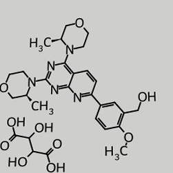 COc1ccc(-c2ccc3c(N4CCOC[C@@H]4C)nc(N4CCOC[C@@H]4C)nc3n2)cc1CO.O=C(O)C(O)C(O)C(=O)O